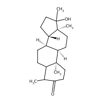 CC1C(=O)CC[C@@]2(C)C1CC[C@@H]1[C@H]2CC[C@@]2(C)[C@H]1CCC2(C)O